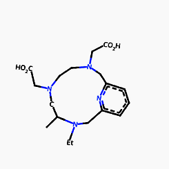 CCN1Cc2cccc(n2)CN(CC(=O)O)CCN(CC(=O)O)CC1C